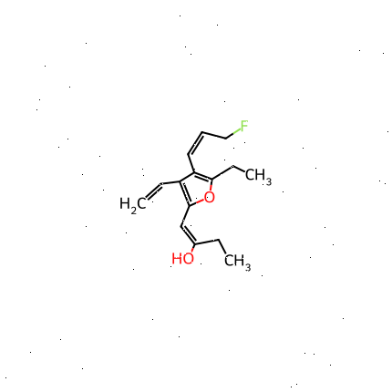 C=Cc1c(/C=C(/O)CC)oc(CC)c1/C=C\CF